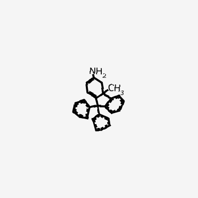 CC12CC(N)=CC=C1C(c1ccccc1)(c1ccccc1)c1ccccc12